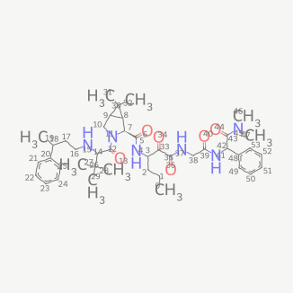 CCCC(NC(=O)[C@@H]1C2C(CN1C(=O)C(NCCC(C)c1ccccc1)C(C)(C)C)C2(C)C)C(=O)C(=O)NCC(=O)NC(C(=O)N(C)C)c1ccccc1